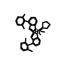 Cc1cccc(C)c1-c1cccc2c1C=C[CH]2[Hf]([CH3])([CH3])(=[C]1CCCC1)[CH]1C=Cc2c(-c3c(C)cccc3C)cccc21